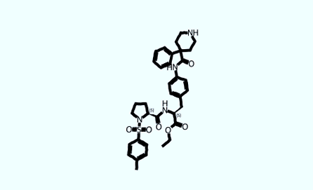 CCOC(=O)[C@H](Cc1ccc(NC(=O)C2(c3ccccc3)CCNCC2)cc1)NC(=O)[C@@H]1CCCN1S(=O)(=O)c1ccc(C)cc1